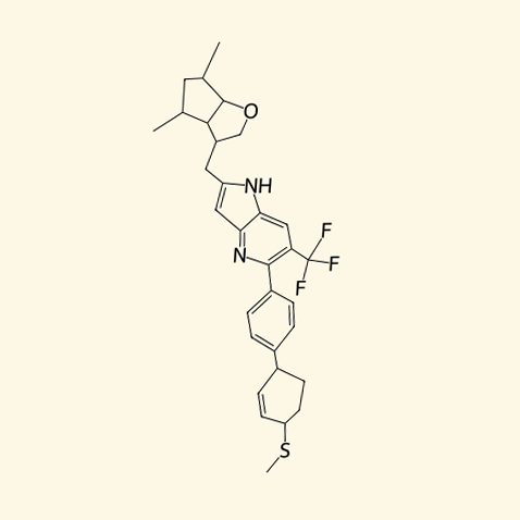 CSC1C=CC(c2ccc(-c3nc4cc(CC5COC6C(C)CC(C)C56)[nH]c4cc3C(F)(F)F)cc2)CC1